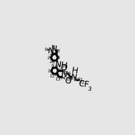 Cn1ncc2cc(Nc3cccc4ccn(CC(=O)NCCC(F)(F)F)c(=O)c34)ccc21